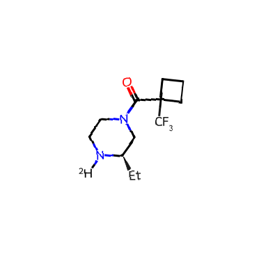 [2H]N1CCN(C(=O)C2(C(F)(F)F)CCC2)C[C@H]1CC